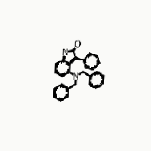 O=C1N=c2cccc(N(Cc3ccccc3)Cc3ccccc3)c2=C1c1ccccc1